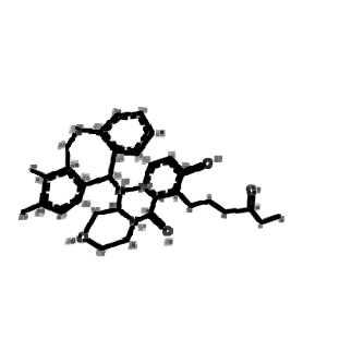 CCC(=O)CCCc1c2n(ccc1=O)N(C1c3ccccc3SCc3c1ccc(C)c3C)C1COCCN1C2=O